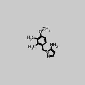 COc1ccc(Cn2nccc2N)c(C)c1C